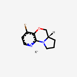 [K+].[S-]c1ccnc2c1OC[C@@H]1CCCN21